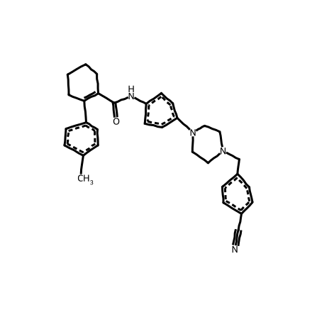 Cc1ccc(C2=C(C(=O)Nc3ccc(N4CCN(Cc5ccc(C#N)cc5)CC4)cc3)CCCC2)cc1